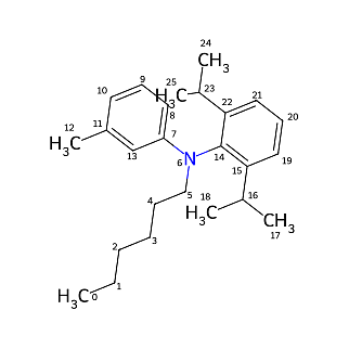 CCCCCCN(c1cccc(C)c1)c1c(C(C)C)cccc1C(C)C